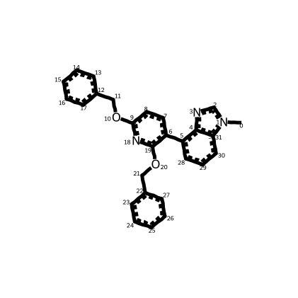 Cn1cnc2c(-c3ccc(OCc4ccccc4)nc3OCc3ccccc3)cccc21